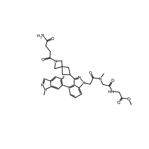 COC(=O)CNC(=O)CN(C)C(=O)Cn1nc(C2CC3(C2)CN(C(=O)CCC(N)=O)C3)c2c(-c3cc4c(cnn4C)cc3F)cccc21